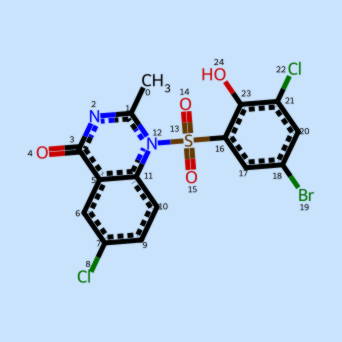 Cc1nc(=O)c2cc(Cl)ccc2n1S(=O)(=O)c1cc(Br)cc(Cl)c1O